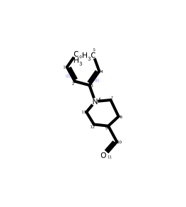 C/C=C\C(=C/C)N1CCC(C=O)CC1